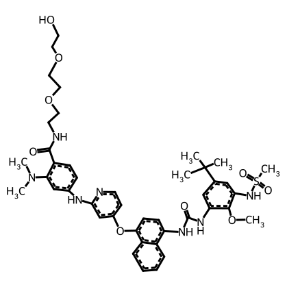 COc1c(NC(=O)Nc2ccc(Oc3ccnc(Nc4ccc(C(=O)NCCOCCOCCO)c(N(C)C)c4)c3)c3ccccc23)cc(C(C)(C)C)cc1NS(C)(=O)=O